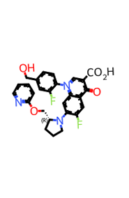 O=C(O)c1cn(-c2ccc(CO)cc2F)c2cc(N3CCC[C@@H]3COc3ccccn3)c(F)cc2c1=O